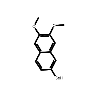 COc1cc2ccc([SeH])cc2cc1OC